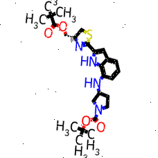 CC(C)(C)OC(=O)N1CCC(Nc2cccc3cc(C4=N[C@H](COC(=O)C(C)(C)C)CS4)[nH]c23)C1